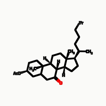 CC(=O)O[C@H]1CC[C@@]2(C)C(CC(=O)[C@H]3[C@@H]4CC[C@H](C(C)CCCC(C)C)[C@@]4(C)CC[C@@H]32)C1